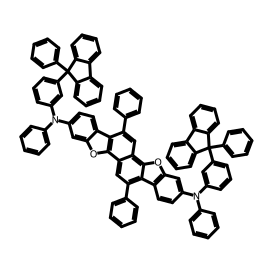 c1ccc(-c2cc3c(cc(-c4ccccc4)c4c5ccc(N(c6ccccc6)c6cccc(C7(c8ccccc8)c8ccccc8-c8ccccc87)c6)cc5oc34)c3oc4cc(N(c5ccccc5)c5cccc(C6(c7ccccc7)c7ccccc7-c7ccccc76)c5)ccc4c23)cc1